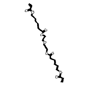 C=CC(=O)OCCCCCC(=O)OCCOCCOC(=O)CCCCCOC(=O)C=C